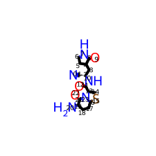 N#C[C@H](CC1CCNC1=O)NC(=O)C1CSC2CCC(N)C(=O)N21